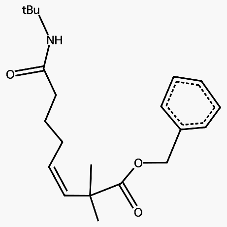 CC(C)(C)NC(=O)CCC/C=C\C(C)(C)C(=O)OCc1ccccc1